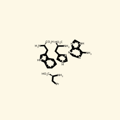 CC(C)C[C@H](N)C(=O)O.N[C@@H](Cc1c[nH]c2ccccc12)C(=O)O.N[C@@H](Cc1c[nH]cn1)C(=O)O.Nc1ncnc2nc[nH]c12